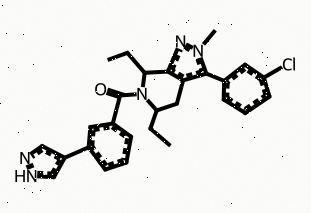 CCC1Cc2c(nn(C)c2-c2cccc(Cl)c2)C(CC)N1C(=O)c1cccc(-c2cn[nH]c2)c1